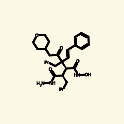 CC(C)C[C@@H](C(=O)NN)[C@H](C(=O)NO)C(/C=C/c1ccccc1)(CC(C)C)C(=O)CC1CCOCC1